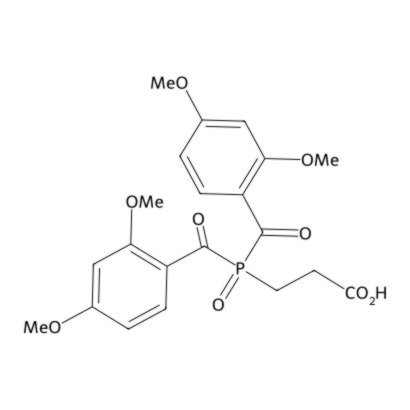 COc1ccc(C(=O)P(=O)(CCC(=O)O)C(=O)c2ccc(OC)cc2OC)c(OC)c1